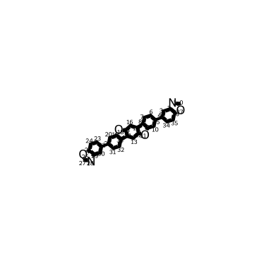 c1nc2cc(-c3ccc4c(c3)oc3cc5c(cc34)oc3cc(-c4ccc6ocnc6c4)ccc35)ccc2o1